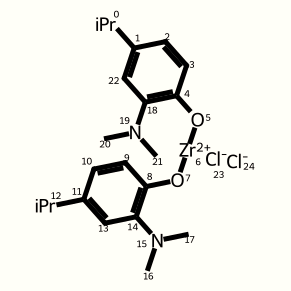 CC(C)c1ccc([O][Zr+2][O]c2ccc(C(C)C)cc2N(C)C)c(N(C)C)c1.[Cl-].[Cl-]